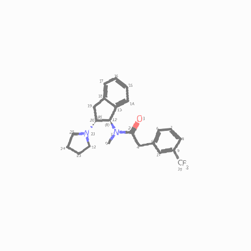 CN(C(=O)Cc1cccc(C(F)(F)F)c1)[C@@H]1c2ccccc2C[C@H]1N1CCCC1